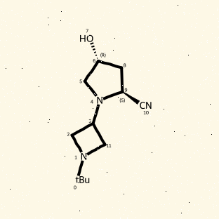 CC(C)(C)N1CC(N2C[C@H](O)C[C@H]2C#N)C1